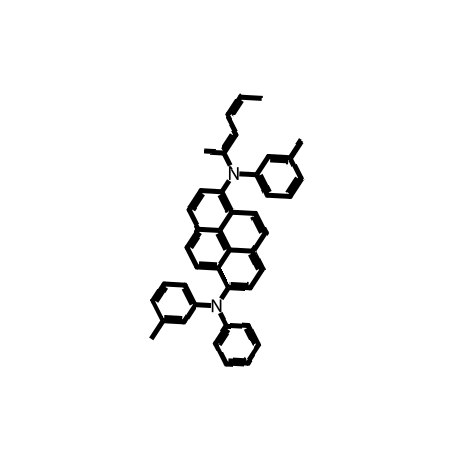 C/C=C\C=C(/C)N(c1cccc(C)c1)c1ccc2ccc3c(N(c4ccccc4)c4cccc(C)c4)ccc4ccc1c2c43